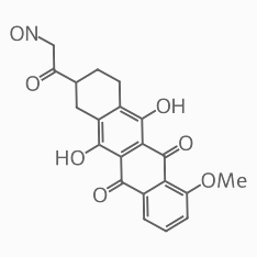 COc1cccc2c1C(=O)c1c(O)c3c(c(O)c1C2=O)CC(C(=O)CN=O)CC3